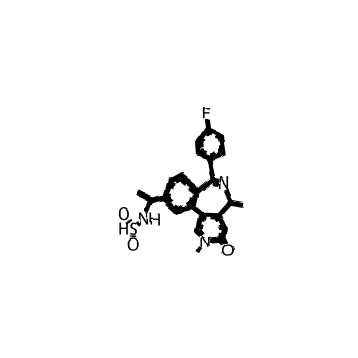 CC1N=C(c2ccc(F)cc2)c2ccc(C(C)N[SH](=O)=O)cc2-c2cn(C)c(=O)cc21